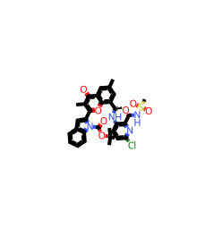 Cc1cc([C@@H](C)Nc2ccc(Cl)nc2C(=O)NS(C)(=O)=O)c2oc(-c3cc4ccccc4n3C(=O)OC(C)(C)C)c(C)c(=O)c2c1